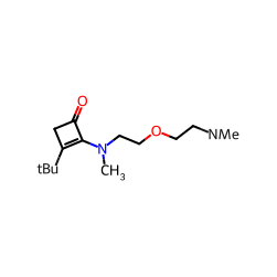 CNCCOCCN(C)C1=C(C(C)(C)C)CC1=O